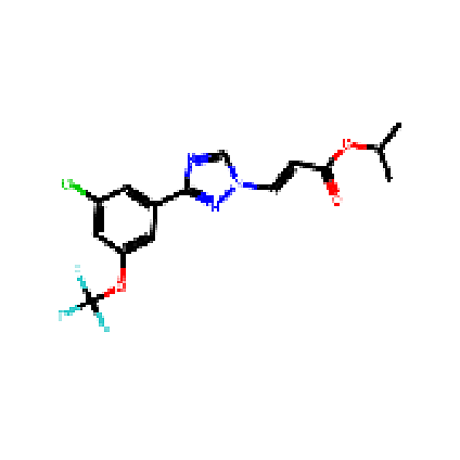 CC(C)OC(=O)/C=C/n1cnc(-c2cc(Cl)cc(OC(F)(F)F)c2)n1